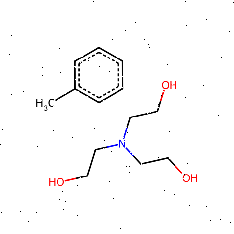 Cc1ccccc1.OCCN(CCO)CCO